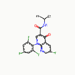 CCC(NC(=O)c1cn(-c2c(F)cc(F)cc2F)c2ncc(F)cc2c1=O)C(C)C